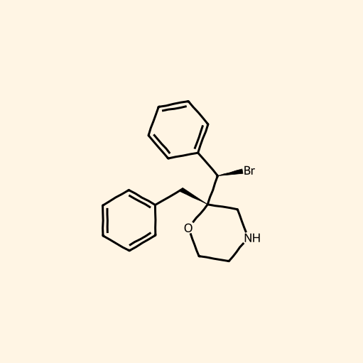 Br[C@H](c1ccccc1)[C@]1(Cc2ccccc2)CNCCO1